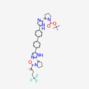 C[C@@H](CCC(F)(F)F)C(=O)N1CCC[C@H]1c1ncc(-c2ccc(-c3ccc(-c4cnc([C@@H]5CCCN5C(=O)OC(C)(C)C)[nH]4)cc3)cc2)[nH]1